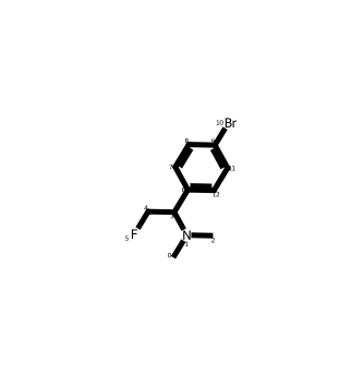 CN(C)C(CF)c1ccc(Br)cc1